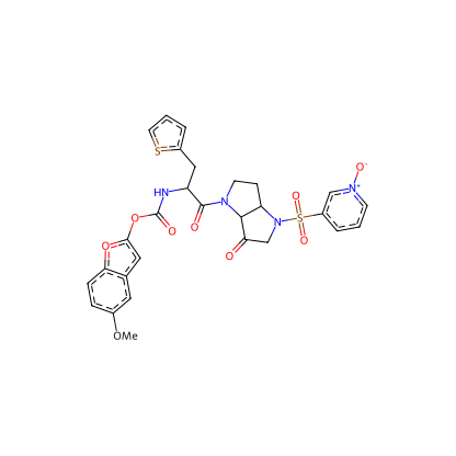 COc1ccc2oc(OC(=O)NC(Cc3cccs3)C(=O)N3CCC4C3C(=O)CN4S(=O)(=O)c3ccc[n+]([O-])c3)cc2c1